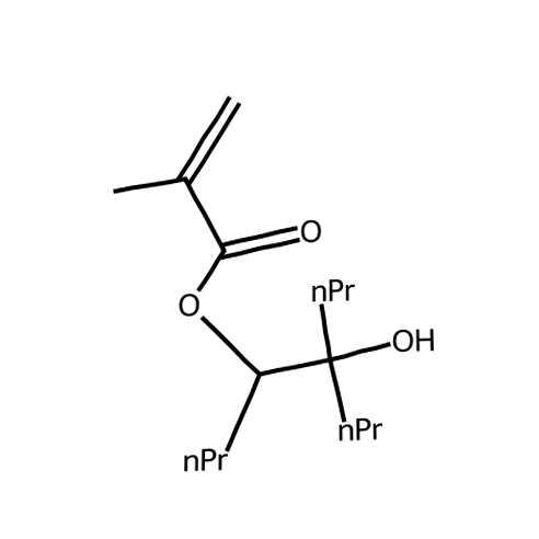 C=C(C)C(=O)OC(CCC)C(O)(CCC)CCC